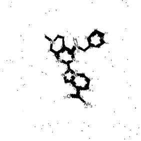 CN1CCc2c(nc(-c3ncc4c(C(N)=O)cccn34)nc2NCc2ccccc2)C1